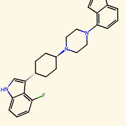 Fc1cccc2[nH]cc([C@H]3CC[C@H](N4CCN(c5cccc6[nH]ccc56)CC4)CC3)c12